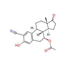 CC(=O)O[C@H]1Cc2cc(O)c(C#N)cc2[C@H]2CC[C@]3(C)C(=O)CC[C@H]3[C@H]12